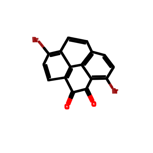 O=c1c(=O)c2c(Br)ccc3ccc4c(Br)ccc1c4c32